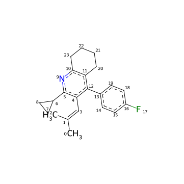 CC(C)=Cc1c(C2CC2)nc2c(c1-c1ccc(F)cc1)CCCC2